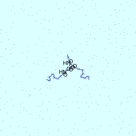 CC/C=C\C/C=C\C/C=C\C/C=C\C/C=C\C/C=C/CCC(=O)NCCCOC(=O)c1cc(NC(=O)CC/C=C/CC)ccc1OC(=O)CC/C=C/C/C=C\C/C=C\C/C=C\C/C=C\C/C=C\CC